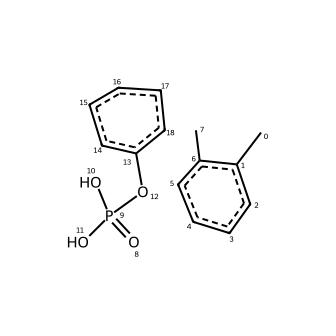 Cc1ccccc1C.O=P(O)(O)Oc1ccccc1